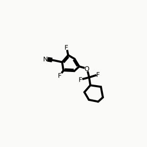 N#Cc1c(F)cc(OC(F)(F)C2CCCCC2)cc1F